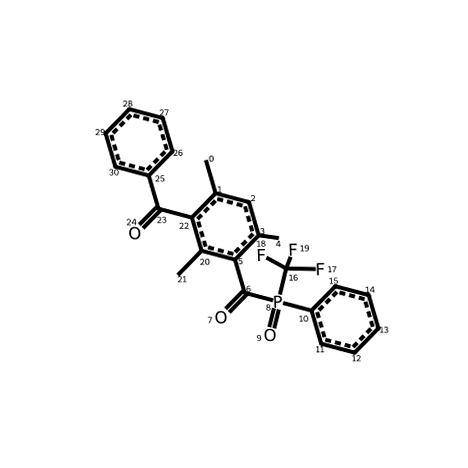 Cc1cc(C)c(C(=O)P(=O)(c2ccccc2)C(F)(F)F)c(C)c1C(=O)c1ccccc1